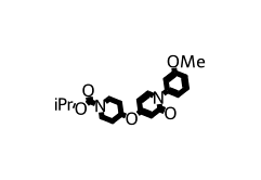 COc1cccc(-n2ccc(OC3CCN(C(=O)OC(C)C)CC3)cc2=O)c1